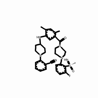 Cc1cc(C)c(C(=O)N2CCN(c3cccc(F)c3[S@@](C)(=N)=O)CC2)cc1NC1CCN(c2ccccc2C#N)CC1